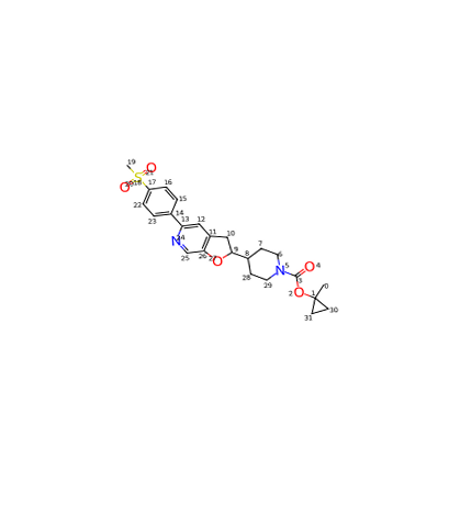 CC1(OC(=O)N2CCC(C3Cc4cc(-c5ccc(S(C)(=O)=O)cc5)ncc4O3)CC2)CC1